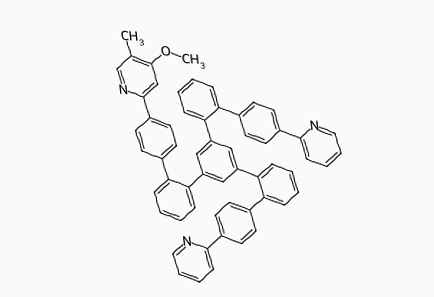 COc1cc(-c2ccc(-c3ccccc3-c3cc(-c4ccccc4-c4ccc(-c5ccccn5)cc4)cc(-c4ccccc4-c4ccc(-c5ccccn5)cc4)c3)cc2)ncc1C